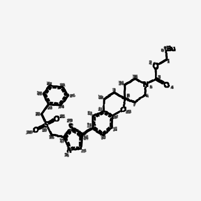 CC(C)(C)COC(=O)N1CCC2(CCc3cc(-c4cnc(CS(=O)(=O)Cc5ccccc5)s4)ccc3O2)CC1